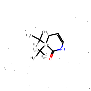 C[C](C)(C)[Ca]1([C](C)(C)C)[CH2]C=CN[C]1=O